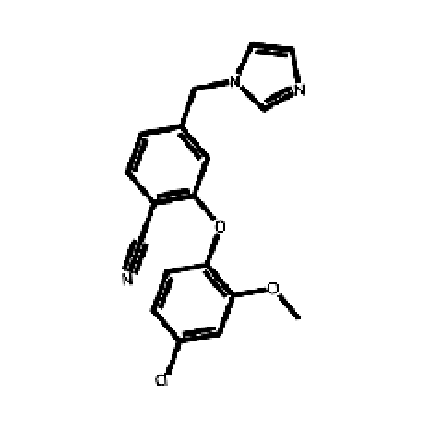 COc1cc(Cl)ccc1Oc1cc(Cn2ccnc2)ccc1C#N